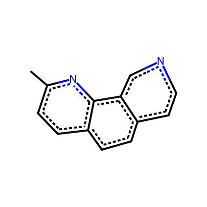 Cc1ccc2ccc3ccncc3c2n1